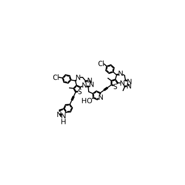 Cc1c(C#Cc2cc(Cc3nnc4n3-c3sc(C#Cc5ccc6[nH]ncc6c5)c(C)c3C(c3ccc(Cl)cc3)=NC4)c(O)cn2)sc2c1C(c1ccc(Cl)cc1)=NCc1nnc(C)n1-2